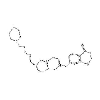 O=C1CCOc2cc(CN3CCN4CC(COCCCN5CCCCC5)CCC4C3)ccc21